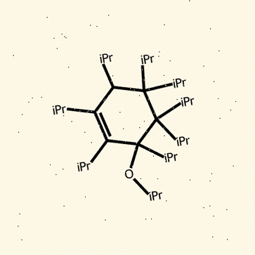 CC(C)OC1(C(C)C)C(C(C)C)=C(C(C)C)C(C(C)C)C(C(C)C)(C(C)C)C1(C(C)C)C(C)C